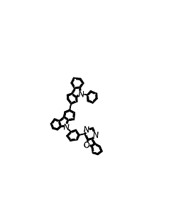 c1ccc(-n2c3ccccc3c3ccc(-c4ccc5c(c4)c4ccccc4n5-c4cccc(-c5ncnc6c5oc5ccccc56)c4)cc32)cc1